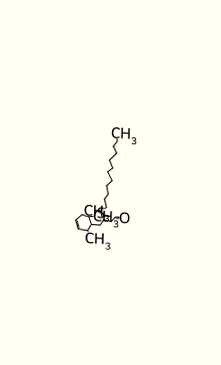 CCCCCCCCCCCCSC(CC=O)CC1C(C)C=CCC1(C)C